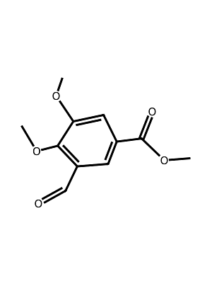 COC(=O)c1cc(C=O)c(OC)c(OC)c1